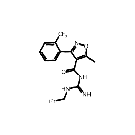 Cc1onc(-c2ccccc2C(F)(F)F)c1C(=O)NC(=N)NCC(C)C